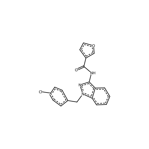 O=C(Nc1nn(Cc2ccc(Cl)cc2)c2ccccc12)c1ccoc1